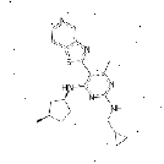 Cc1nc(NCC2CC2)nc(N[C@H]2CC[C@@H](C)C2)c1-c1nc2cnccc2s1